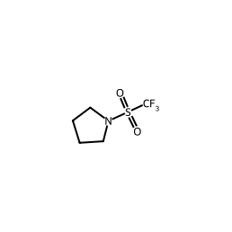 O=S(=O)(N1CCCC1)C(F)(F)F